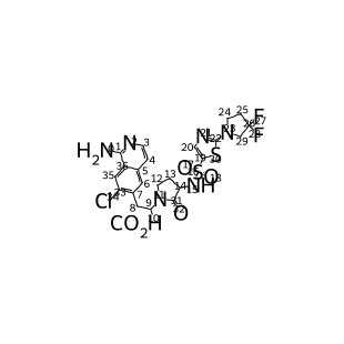 Nc1nccc2cc(CC(C(=O)O)N3CCC(NS(=O)(=O)c4cnc(N5CCC(F)(F)C5)s4)C3=O)c(Cl)cc12